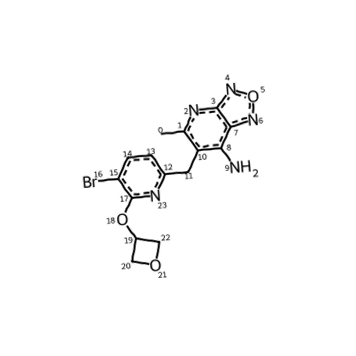 Cc1nc2nonc2c(N)c1Cc1ccc(Br)c(OC2COC2)n1